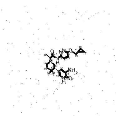 C[C@@H](C(=O)Nc1ccc(OCC2CC2)nn1)N1CCC(F)(F)[C@@H](c2c[nH]c(=O)c(N)c2)C1